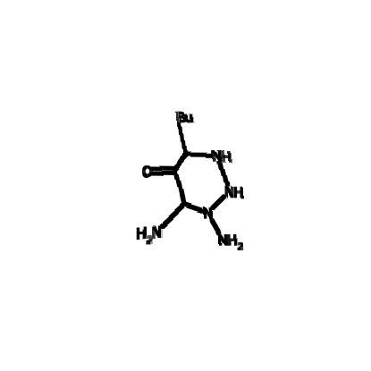 CCC(C)C1NNN(N)C(N)C1=O